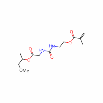 C=C(C)C(=O)OCCNC(=O)NCC(=O)OC(C)COC